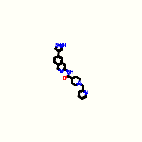 O=C(Nc1cc2cc(-c3cn[nH]c3)ccc2cn1)C1CCN(Cc2ccccn2)CC1